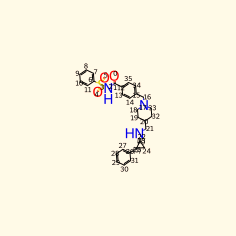 O=C(NS(=O)(=O)c1ccccc1)c1ccc(CN2CCC(CN[C@@H]3C[C@H]3c3ccccc3)CC2)cc1